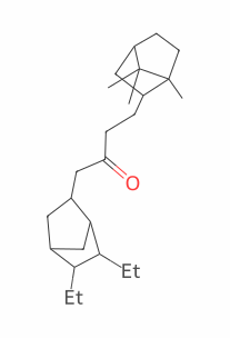 CCC1C2CC(CC(=O)CCC3CC4CCC3(C)C4(C)C)C(C2)C1CC